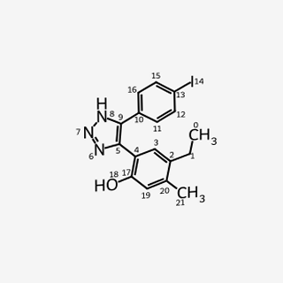 CCc1cc(-c2nn[nH]c2-c2ccc(I)cc2)c(O)cc1C